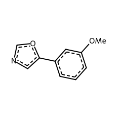 COc1cccc(-c2cnco2)c1